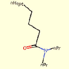 CCCCCCCCCCC(=O)N(CCC)CCC